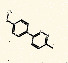 Cc1ccc(-c2ccc(SC#N)cc2)nn1